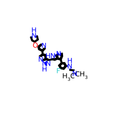 CN(C)CCNc1cc(F)cc(-c2ccnc3[nH]c(-c4n[nH]c5ncc(-c6cncc(OC7CCNCC7)c6)cc45)cc23)c1